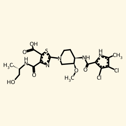 CO[C@H]1CN(c2nc(C(=O)N[C@@H](C)CO)c(C(=O)O)s2)CC[C@H]1NC(=O)c1[nH]c(C)c(Cl)c1Cl